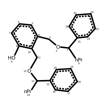 CCCC(OCc1cccc(O)c1COC(CCC)c1ccccc1)c1ccccc1